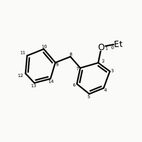 [CH2]COc1ccccc1Cc1ccccc1